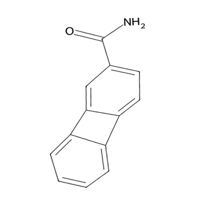 NC(=O)c1ccc2c(c1)-c1ccccc1-2